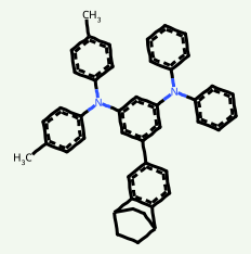 Cc1ccc(N(c2ccc(C)cc2)c2cc(-c3ccc4c(c3)C3CCC4CC3)cc(N(c3ccccc3)c3ccccc3)c2)cc1